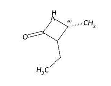 CCC1C(=O)N[C@@H]1C